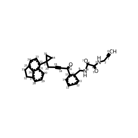 C#CCNC(=O)C(=O)NCc1ccccc1C(=O)C#CCC1(c2ccc3c4c(cccc24)CC3)CC1